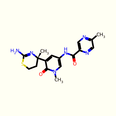 Cc1cnc(C(=O)Nc2cc([C@]3(C)CCSC(N)=N3)c(=O)n(C)c2)cn1